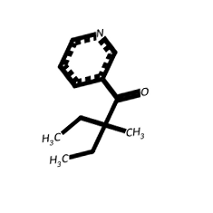 CCC(C)(CC)C(=O)c1cccnc1